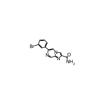 NC(=O)c1cn2cc(-c3cccc(Br)c3)ncc2n1